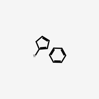 [Ti][C]1=CC=CC1.c1ccccc1